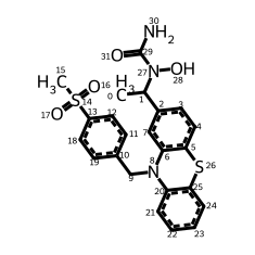 CC(c1ccc2c(c1)N(Cc1ccc(S(C)(=O)=O)cc1)c1ccccc1S2)N(O)C(N)=O